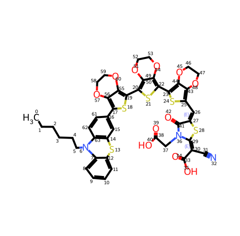 CCCCCCN1c2ccccc2Sc2cc(-c3sc(-c4sc(-c5sc(/C=c6/s/c(=C(\C#N)C(=O)O)n(CC(=O)O)c6=O)c6c5OCCO6)c5c4OCCO5)c4c3OCCO4)ccc21